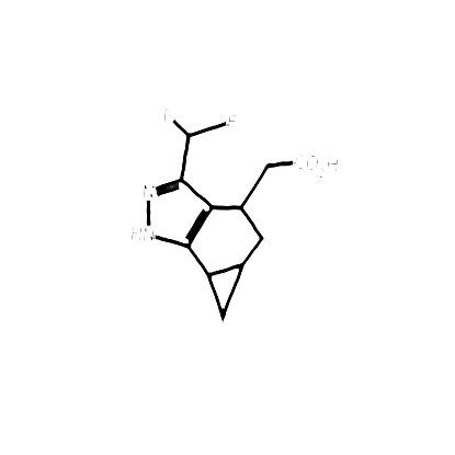 O=C(O)CC1CC2CC2c2[nH]nc(C(F)F)c21